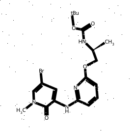 C[C@@H](COc1cccc(Nc2cc(Br)cn(C)c2=O)n1)NC(=O)OC(C)(C)C